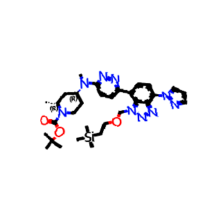 C[C@@H]1C[C@H](N(C)c2ccc(-c3ccc(-n4cccn4)c4nnn(COCC[Si](C)(C)C)c34)nn2)CCN1C(=O)OC(C)(C)C